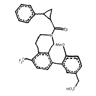 COc1ccc(CC(=O)O)cc1-c1ccc(C(F)(F)F)c2c1CN(C(=O)C1CC1c1ccccc1)CC2